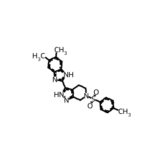 Cc1ccc(S(=O)(=O)N2CCc3c(n[nH]c3-c3nc4cc(C)c(C)cc4[nH]3)C2)cc1